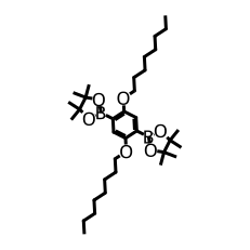 CCCCCCCCOc1cc(B2OC(C)(C)C(C)(C)O2)c(OCCCCCCCC)cc1B1OC(C)(C)C(C)(C)O1